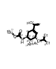 C=C(O)C1=C[C@@H](OC(CC)CC)[C@H](NC(C)=O)[C@@H](NC(=O)OC(C)(C)C)C1